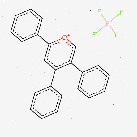 F[B-](F)(F)F.c1ccc(-c2cc(-c3ccccc3)c(-c3ccccc3)c[o+]2)cc1